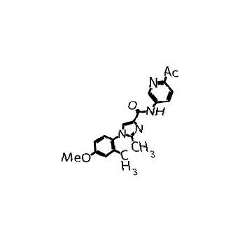 COc1ccc(-n2cc(C(=O)Nc3ccc(C(C)=O)nc3)nc2C)c(C)c1